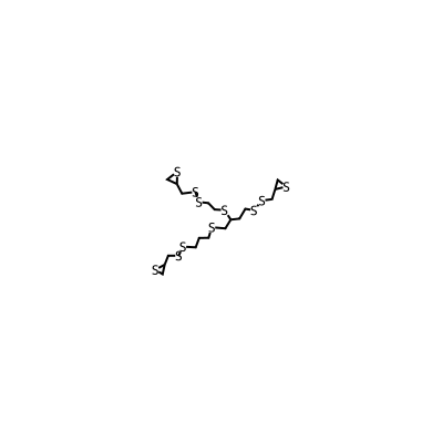 C(CSCC(CCSSCC1CS1)SCCSSCC1CS1)CSSCC1CS1